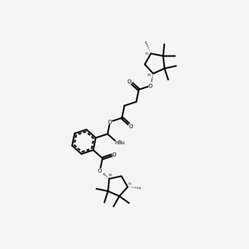 CCCCC(OC(=O)CCC(=O)O[C@@H]1C[C@H](C)C(C)(C)C1(C)C)c1ccccc1C(=O)O[C@@H]1C[C@H](C)C(C)(C)C1(C)C